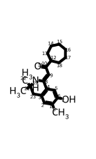 Cc1cc2c(cc1O)C(=CC(=O)C1CCCCCC1)NC(C)(C)C2